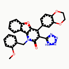 COc1ccccc1Cn1c(=O)c(-c2nnn[nH]2)c(-c2ccc3c(c2)OCCO3)c2oc3ccccc3c21